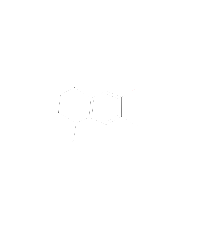 CCCC1CCCc2cc(O)c(C(C)=O)cc21